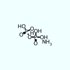 N.O=P(O)(O)OP(=O)(O)O